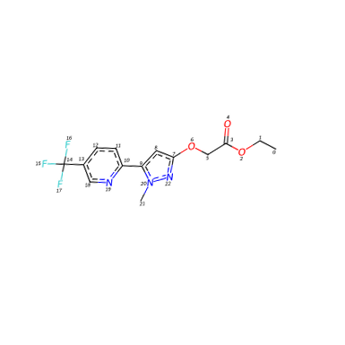 CCOC(=O)COc1cc(-c2ccc(C(F)(F)F)cn2)n(C)n1